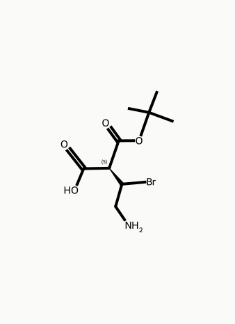 CC(C)(C)OC(=O)[C@H](C(=O)O)C(Br)CN